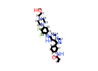 C=CC(=O)Nc1cccc(-c2ncn3cnc(Nc4ccc(N5CCN(CCO)CC5)c(F)c4F)cc23)c1